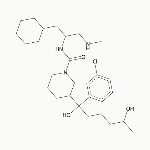 CNCC(CC1CCCCC1)NC(=O)N1CCCC(C(O)(CCCC(C)O)c2cccc(Cl)c2)C1